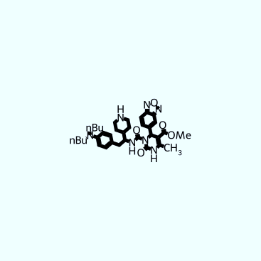 CCCCN(CCCC)c1ccc(CC(NC(=O)N2C(=O)NC(C)=C(C(=O)OC)C2c2ccc3nonc3c2)C2CCNCC2)cc1